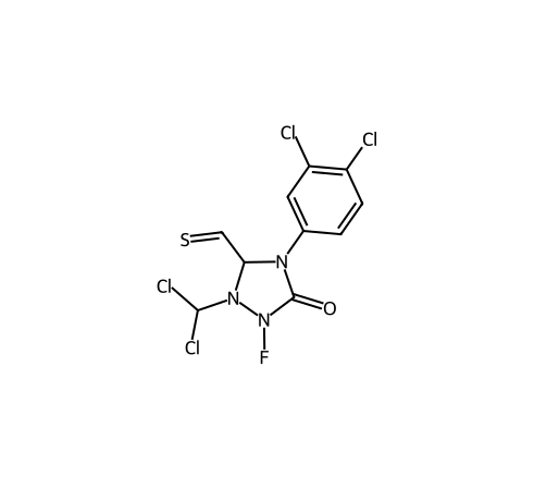 O=C1N(c2ccc(Cl)c(Cl)c2)C(C=S)N(C(Cl)Cl)N1F